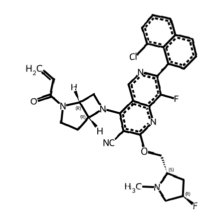 C=CC(=O)N1CC[C@@H]2[C@H]1CN2c1c(C#N)c(OC[C@@H]2C[C@@H](F)CN2C)nc2c(F)c(-c3cccc4cccc(Cl)c34)ncc12